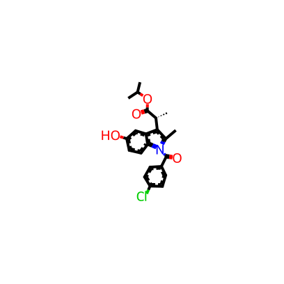 Cc1c([C@@H](C)C(=O)OC(C)C)c2cc(O)ccc2n1C(=O)c1ccc(Cl)cc1